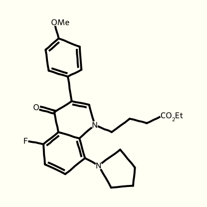 CCOC(=O)CCCn1cc(-c2ccc(OC)cc2)c(=O)c2c(F)ccc(N3CCCC3)c21